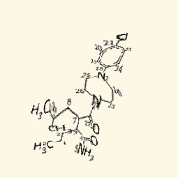 CCCC(C(N)=O)C(CC(C)C)C(=O)N1CCN(c2ccc(Cl)cc2)CC1